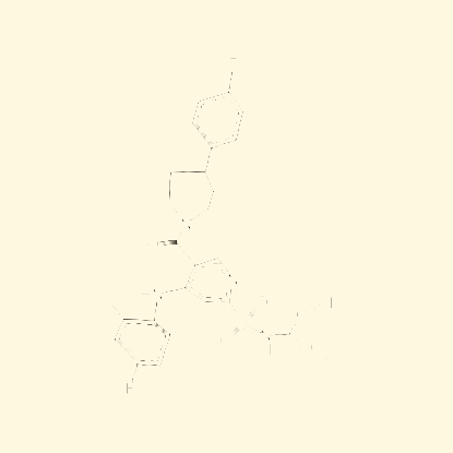 Cc1cc(F)ccc1Nc1cc(S(=O)(=O)NC(CO)C(=O)O)ncc1C(=O)N1CCC(c2ccc(F)cc2)CC1